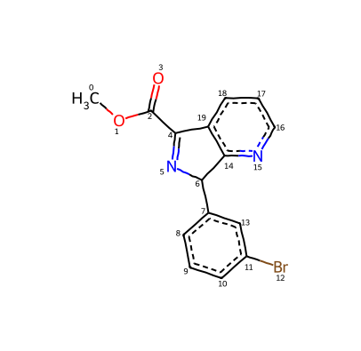 COC(=O)C1=NC(c2cccc(Br)c2)c2ncccc21